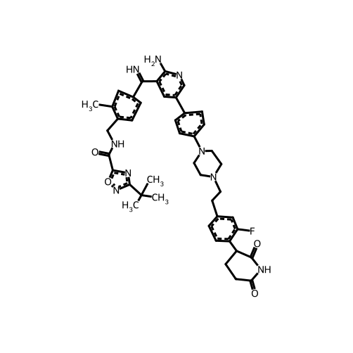 Cc1cc(C(=N)c2cc(-c3ccc(N4CCN(CCc5ccc(C6CCC(=O)NC6=O)c(F)c5)CC4)cc3)cnc2N)ccc1CNC(=O)c1nc(C(C)(C)C)no1